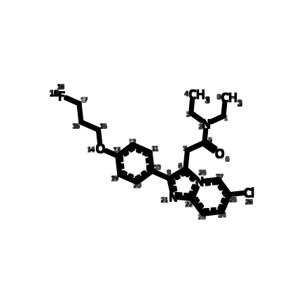 CCN(CC)C(=O)Cc1c(-c2ccc(OCCC[18F])cc2)nc2ccc(Cl)cn12